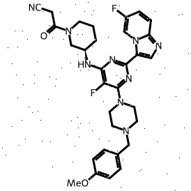 COc1ccc(CN2CCN(c3nc(-c4cnc5ccc(F)cn45)nc(N[C@@H]4CCCN(C(=O)CC#N)C4)c3F)CC2)cc1